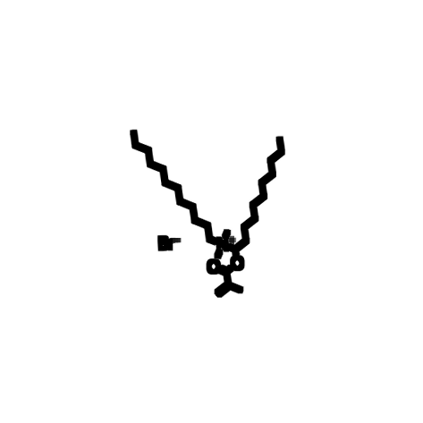 C=C(C)C(=O)OC(CCCCCCCCCC)[N+](C)(C)CCCCCCCCCCCC.[Br-]